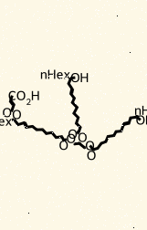 CCCCCCC(O)CC=CCCCCCCCC(=O)OCC(COC(=O)CCCCCCCC=CCC(CCCCCC)OC(=O)C=CC(=O)O)OC(=O)CCCCCCCC=CCC(O)CCCCCC